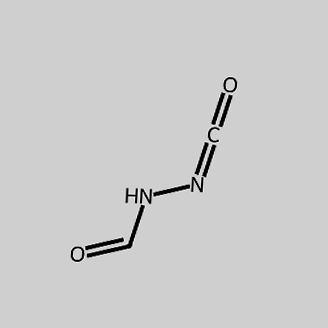 O=C=NNC=O